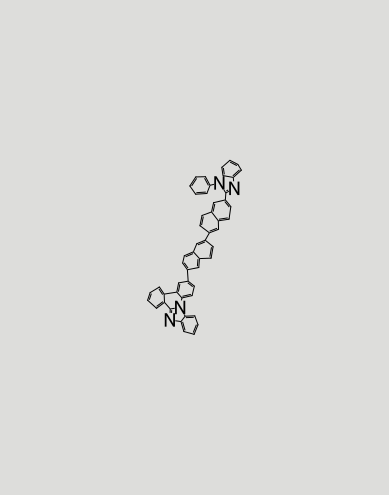 c1ccc(-n2c(-c3ccc4cc(-c5ccc6cc(-c7ccc8c(c7)c7ccccc7c7nc9ccccc9n87)ccc6c5)ccc4c3)nc3ccccc32)cc1